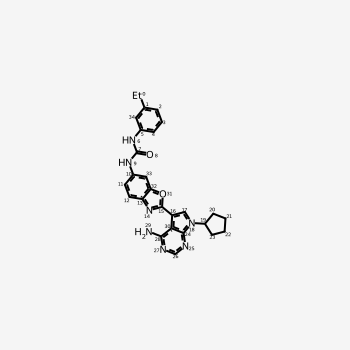 CCc1cccc(NC(=O)Nc2ccc3nc(-c4cn(C5CCCC5)c5ncnc(N)c45)oc3c2)c1